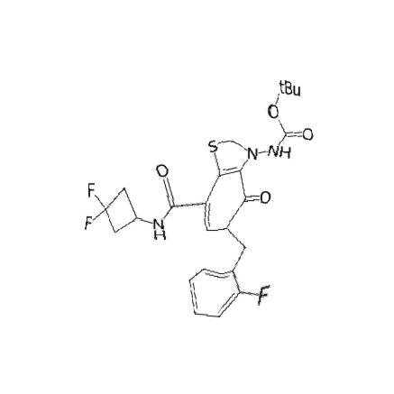 CC(C)(C)OC(=O)NN1CSC2=C1C(=O)C(Cc1ccccc1F)C=C2C(=O)NC1CC(F)(F)C1